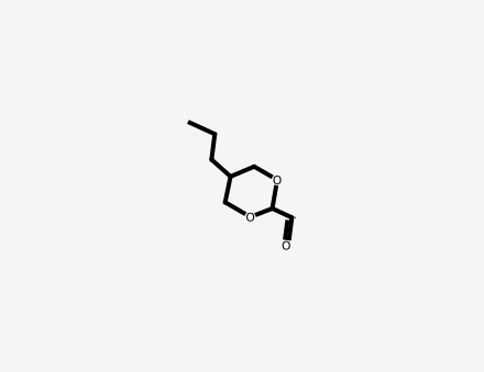 CCCC1COC([C]=O)OC1